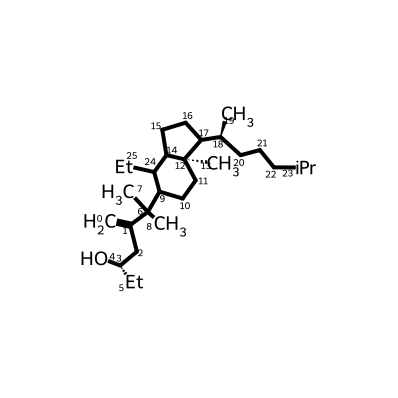 C=C(C[C@@H](O)CC)C(C)(C)C1CC[C@@]2(C)C(CCC2[C@@H](C)CCCC(C)C)C1CC